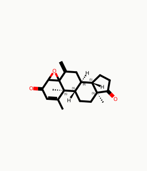 C=C1C[C@H]2[C@@H]3CCC(=O)[C@@]3(C)CC[C@@H]2[C@@]2(C)C(C)=CC(=O)C3OC132